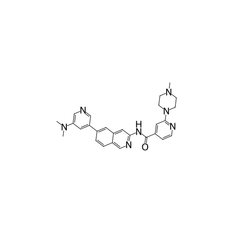 CN1CCN(c2cc(C(=O)Nc3cc4cc(-c5cncc(N(C)C)c5)ccc4cn3)ccn2)CC1